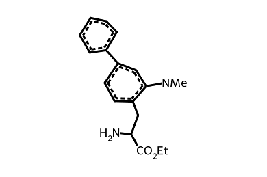 CCOC(=O)C(N)Cc1ccc(-c2ccccc2)cc1NC